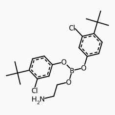 CC(C)(C)c1ccc(OB(OCCN)Oc2ccc(C(C)(C)C)c(Cl)c2)cc1Cl